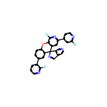 Fc1cc(-c2cc3c(c(F)n2)Oc2ccc(-c4cccnc4F)cc2C32N=Cc3ccncc32)ccn1